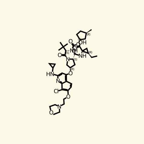 CC[C@@H]1C[C@]1(NC(=O)[C@@H]1C[C@@H](Oc2cc(NC3CC3)nc3c(Cl)c(OCCN4CCOCC4)ccc23)CN1C(=O)[C@@H](NC(=O)O[C@H]1CC[C@@H](C)C1)C(C)(C)C)C(=O)O